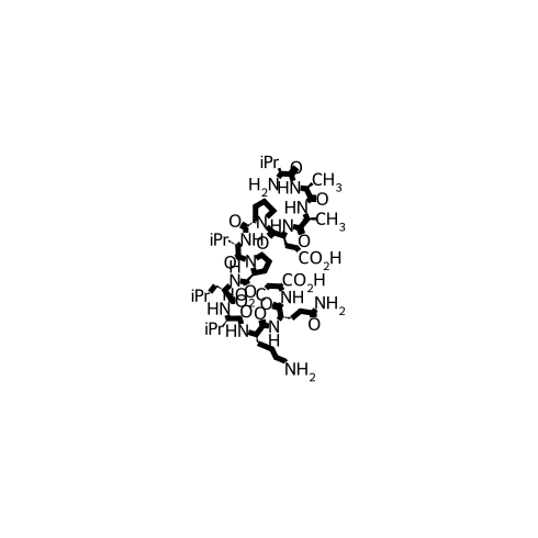 CC(C)C[C@H](NC(=O)[C@@H]1CCCN1C(=O)[C@@H](NC(=O)[C@@H]1CCCN1C(=O)[C@H](CCC(=O)O)NC(=O)[C@H](C)NC(=O)[C@H](C)NC(=O)[C@@H](N)C(C)C)C(C)C)C(=O)N[C@H](C(=O)N[C@@H](CCCCN)C(=O)N[C@@H](CCC(N)=O)C(=O)N[C@@H](CC(=O)O)C(=O)O)C(C)C